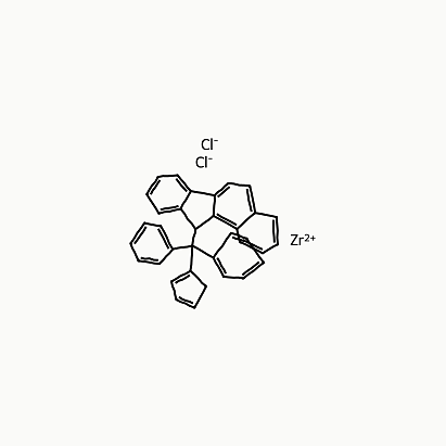 C1=CCC(C(c2ccccc2)(c2ccccc2)C2c3ccccc3-c3ccc4ccccc4c32)=C1.[Cl-].[Cl-].[Zr+2]